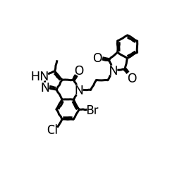 Cc1[nH]nc2c1c(=O)n(CCCN1C(=O)c3ccccc3C1=O)c1c(Br)cc(Cl)cc21